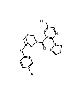 Cc1cnc(-n2nccn2)c(C(=O)N2CC3CCC2C(Oc2ccc(Br)cn2)C3)c1